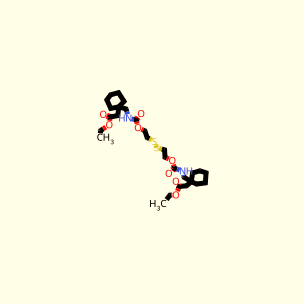 CCOC(=O)CC1(CNC(=O)OCCSSCCOC(=O)NCC2(CC(=O)OCC)CCCCC2)CCCCC1